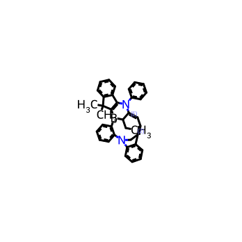 CCC1B2C3=C(c4ccccc4C3(C)C)N(c3ccccc3)/C1=C/C=C1\CN(c3ccccc32)c2ccccc21